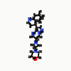 Cc1cc2nccc(-c3cnn4cc(N5CC(N6CCOCC6)C5)cnc34)c2cc1C